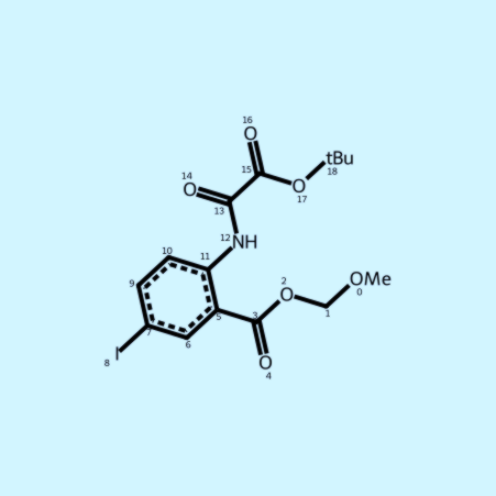 COCOC(=O)c1cc(I)ccc1NC(=O)C(=O)OC(C)(C)C